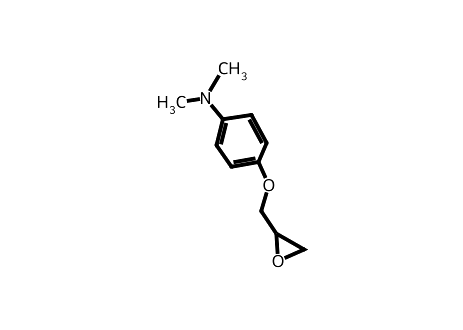 CN(C)c1ccc(OCC2CO2)cc1